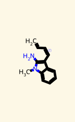 C=C/C=C\c1c(N)n(C)c2ccccc12